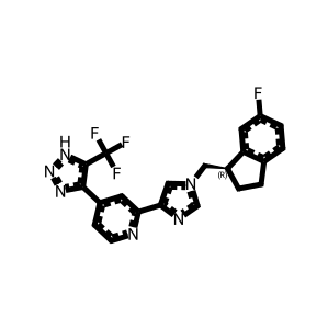 Fc1ccc2c(c1)[C@H](Cn1cnc(-c3cc(-c4nn[nH]c4C(F)(F)F)ccn3)c1)CC2